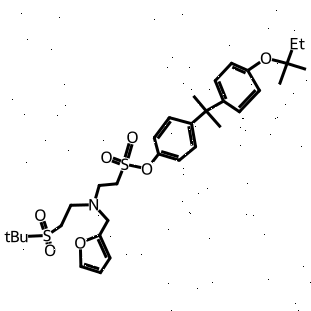 CCC(C)(C)Oc1ccc(C(C)(C)c2ccc(OS(=O)(=O)CCN(CCS(=O)(=O)C(C)(C)C)Cc3ccco3)cc2)cc1